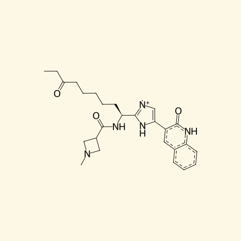 CCC(=O)CCCCC[C@H](NC(=O)C1CN(C)C1)C1=[N+]C=C(c2cc3ccccc3[nH]c2=O)N1